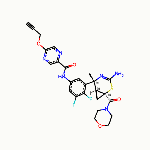 C#CCOc1cnc(C(=O)Nc2cc(F)c(F)c([C@]3(C)N=C(N)S[C@@]4(C(=O)N5CCOCC5)C[C@@H]34)c2)cn1